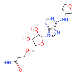 [NH]C(=O)CCOC[C@H]1O[C@@H](n2cnc3c(N[C@@H]4CCOC4)ncnc32)[C@H](O)[C@H]1O